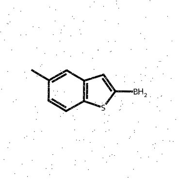 Bc1cc2cc(C)ccc2s1